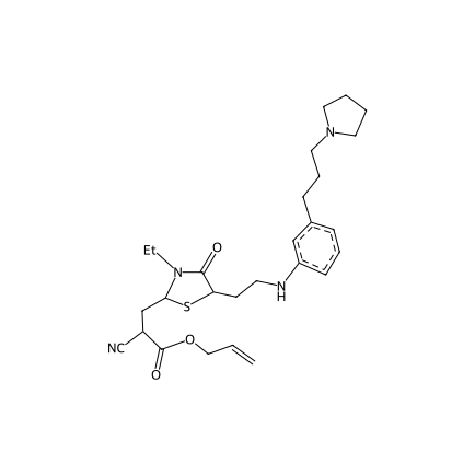 C=CCOC(=O)C(C#N)CC1SC(CCNc2cccc(CCCN3CCCC3)c2)C(=O)N1CC